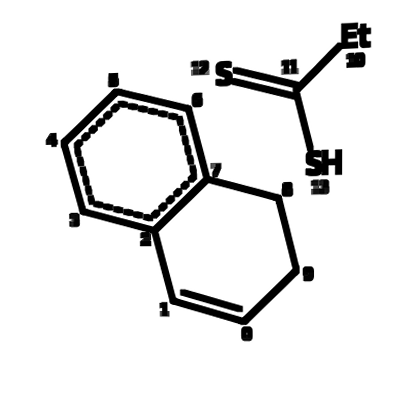 C1=Cc2ccccc2CC1.CCC(=S)S